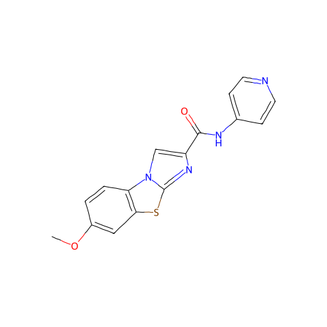 COc1ccc2c(c1)sc1nc(C(=O)Nc3ccncc3)cn12